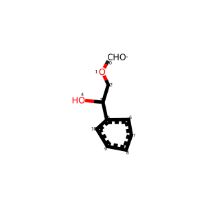 O=[C]OCC(O)c1ccccc1